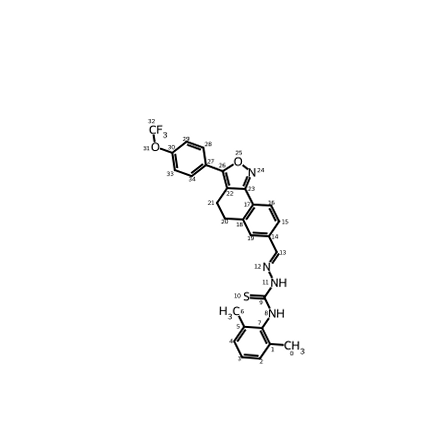 Cc1cccc(C)c1NC(=S)NN=Cc1ccc2c(c1)CCc1c-2noc1-c1ccc(OC(F)(F)F)cc1